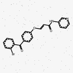 O=C(C=COc1ccc(C(=O)c2ccccc2Br)cc1)Nc1cccnc1